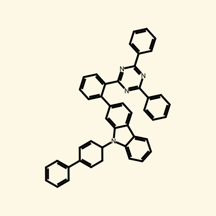 C1=CC(n2c3ccccc3c3ccc(-c4ccccc4-c4nc(-c5ccccc5)nc(-c5ccccc5)n4)cc32)CC=C1c1ccccc1